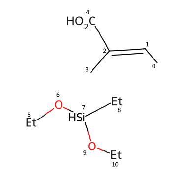 CC=C(C)C(=O)O.CCO[SiH](CC)OCC